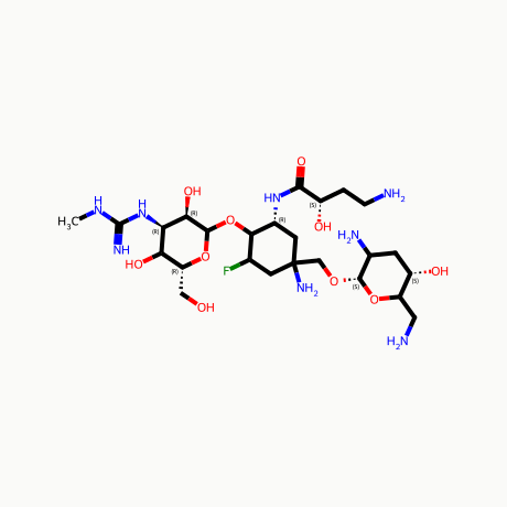 CNC(=N)N[C@@H]1C(O)[C@@H](CO)OC(OC2C(F)CC(N)(CO[C@H]3OC(CN)[C@@H](O)CC3N)C[C@H]2NC(=O)[C@@H](O)CCN)[C@@H]1O